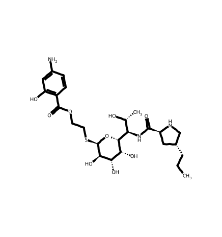 CCC[C@H]1CN[C@H](C(=O)N[C@@H]([C@H]2O[C@H](SCCOC(=O)c3ccc(N)cc3O)[C@H](O)[C@@H](O)[C@H]2O)[C@@H](C)O)C1